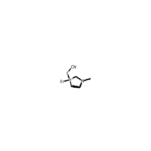 CC[N+]1(SC#N)C=CN(C)C1